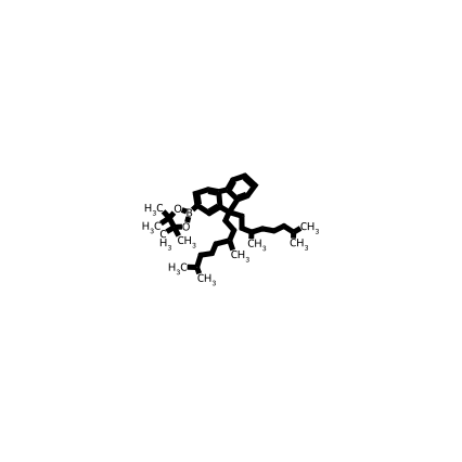 CC(C)CCCC(C)CCC1(CCC(C)CCCC(C)C)c2ccccc2-c2ccc(B3OC(C)(C)C(C)(C)O3)cc21